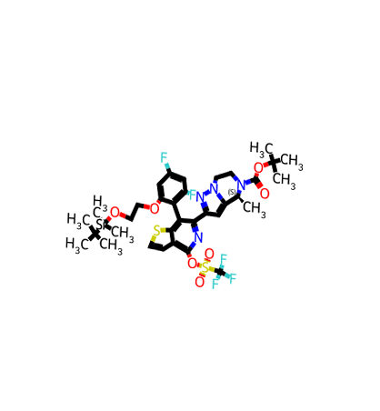 C[C@H]1c2cc(-c3nc(OS(=O)(=O)C(F)(F)F)c4ccsc4c3-c3c(F)cc(F)cc3OCCO[Si](C)(C)C(C)(C)C)nn2CCN1C(=O)OC(C)(C)C